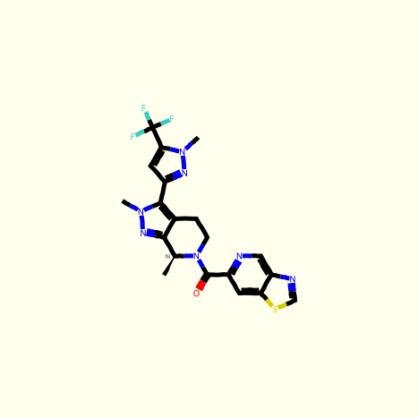 C[C@H]1c2nn(C)c(-c3cc(C(F)(F)F)n(C)n3)c2CCN1C(=O)c1cc2scnc2cn1